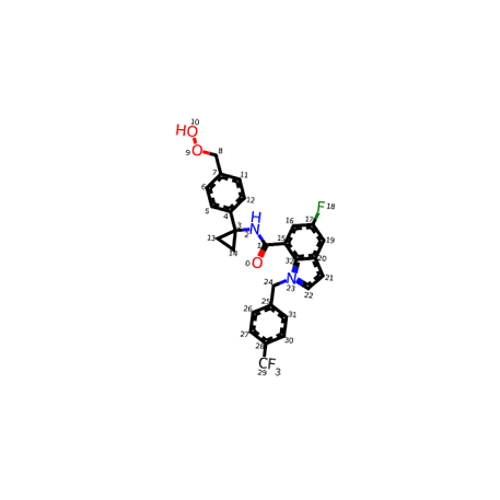 O=C(NC1(c2ccc(COO)cc2)CC1)c1cc(F)cc2ccn(Cc3ccc(C(F)(F)F)cc3)c12